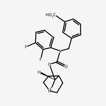 O=C(O)c1cccc(CN(C(=O)O[C@H]2CN3CCC2CC3)c2cccc(F)c2F)c1